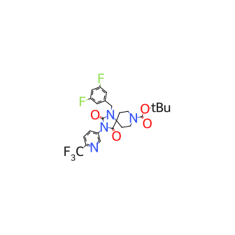 CC(C)(C)OC(=O)N1CCC2(CC1)C(=O)N(c1ccc(C(F)(F)F)nc1)C(=O)N2Cc1cc(F)cc(F)c1